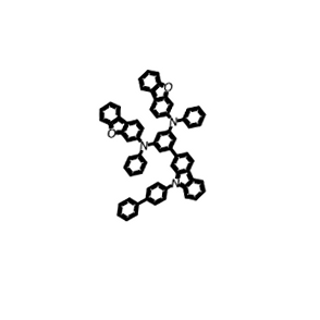 c1ccc(-c2ccc(-n3c4ccccc4c4ccc(-c5cc(N(c6ccccc6)c6ccc7c(c6)oc6ccccc67)cc(N(c6ccccc6)c6ccc7c(c6)oc6ccccc67)c5)cc43)cc2)cc1